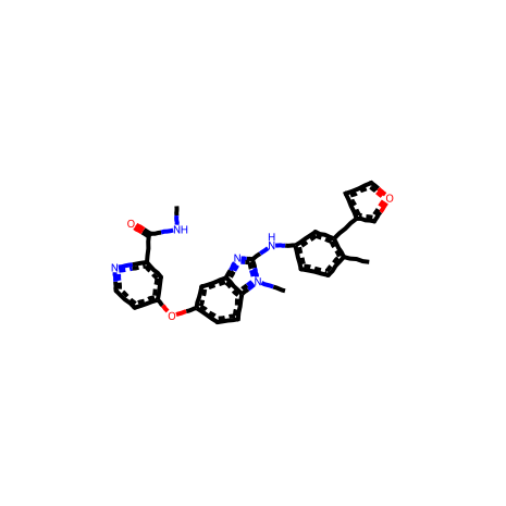 CNC(=O)c1cc(Oc2ccc3c(c2)nc(Nc2ccc(C)c(-c4ccoc4)c2)n3C)ccn1